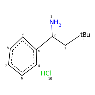 CC(C)(C)CC(N)c1ccccc1.Cl